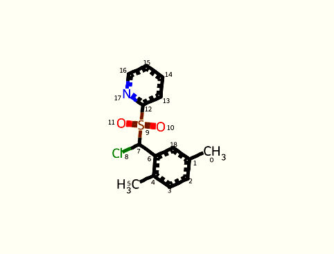 Cc1ccc(C)c(C(Cl)S(=O)(=O)c2ccccn2)c1